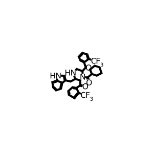 O=C(c1ccccc1C(F)(F)F)C1CNC(Cc2c[nH]c3ccccc23)C(C(=O)c2ccccc2C(F)(F)F)N1C(=O)C1CCCCC1